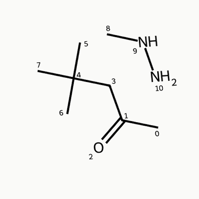 CC(=O)CC(C)(C)C.CNN